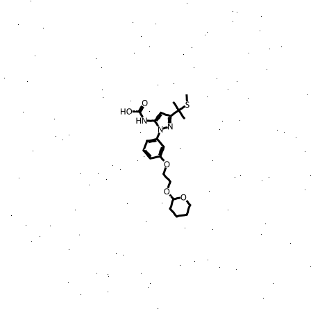 CSC(C)(C)c1cc(NC(=O)O)n(-c2cccc(OCCOC3CCCCO3)c2)n1